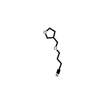 N#CCCCOCC1CCOC1